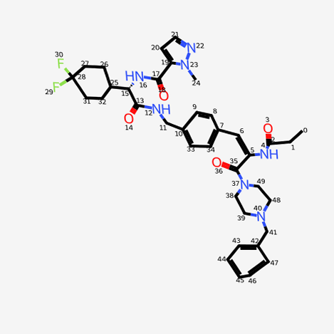 CCC(=O)N/C(=C/c1ccc(CNC(=O)[C@@H](NC(=O)c2ccnn2C)C2CCC(F)(F)CC2)cc1)C(=O)N1CCN(Cc2ccccc2)CC1